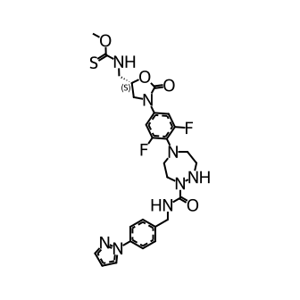 COC(=S)NC[C@H]1CN(c2cc(F)c(N3CCNN(C(=O)NCc4ccc(-n5cccn5)cc4)CC3)c(F)c2)C(=O)O1